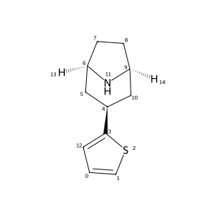 c1csc([C@H]2C[C@H]3CC[C@@H](C2)N3)c1